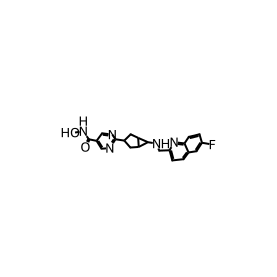 O=C(NO)c1cnc(C2CC3C(C2)C3NCc2ccc3cc(F)ccc3n2)nc1